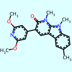 COc1cc(-c2cc3c4cc(C)ccc4n(C)c3n(C)c2=O)cc(OC)n1